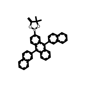 C=C1OB(c2ccc3c(-c4ccc5ccccc5c4)c4ccccc4c(-c4ccc5ccccc5c4)c3c2)OC1(C)C